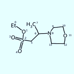 CCOS(=O)(=O)CC(C)N1CCOCC1